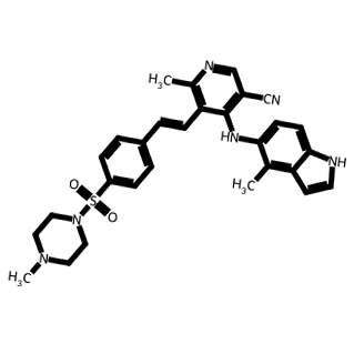 Cc1ncc(C#N)c(Nc2ccc3[nH]ccc3c2C)c1C=Cc1ccc(S(=O)(=O)N2CCN(C)CC2)cc1